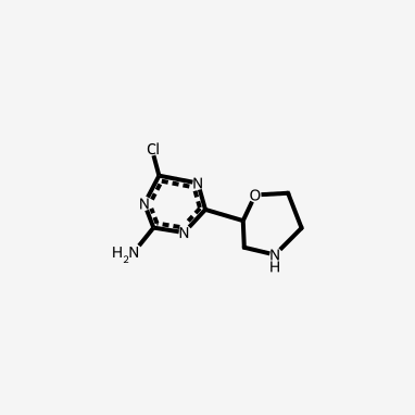 Nc1nc(Cl)nc(C2CNCCO2)n1